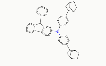 c1ccc(C2c3ccccc3-c3ccc(N(c4ccc(C5CC6CCC5C6)cc4)c4ccc(C5CC6CCC5C6)cc4)cc32)cc1